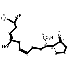 CCCCC(C/C=C(/O)C/C=C\CC[C@H](C(=O)O)[C@H]1CCCC1=O)C(F)(F)F